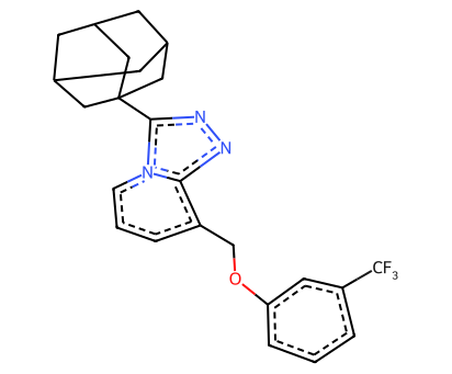 FC(F)(F)c1cccc(OCc2cccn3c(C45CC6CC(CC(C6)C4)C5)nnc23)c1